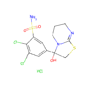 Cl.NS(=O)(=O)c1cc(C2(O)CSC3=NCCCN32)cc(Cl)c1Cl